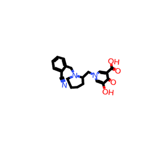 N#Cc1ccccc1CN1CCCCC1Cn1cc(O)c(=O)c(C(=O)O)c1